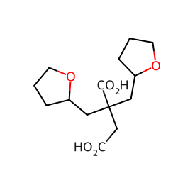 O=C(O)CC(CC1CCCO1)(CC1CCCO1)C(=O)O